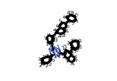 c1ccc(-c2ccc3cc(-c4cccc(-c5nc(-c6ccccc6)nc(-c6cc(-c7ccccc7)c7ccccc7c6)n5)c4)ccc3c2)cc1